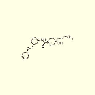 CCCCC1(O)CCN(C(=O)Nc2cccc(COc3ccccc3)c2)CC1